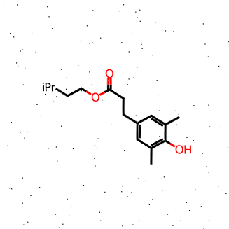 Cc1cc(CCC(=O)OCCC(C)C)cc(C)c1O